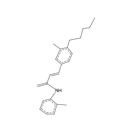 C=C(/C=C/c1ccc(CCCCC)c(C)c1)Nc1ccccc1C